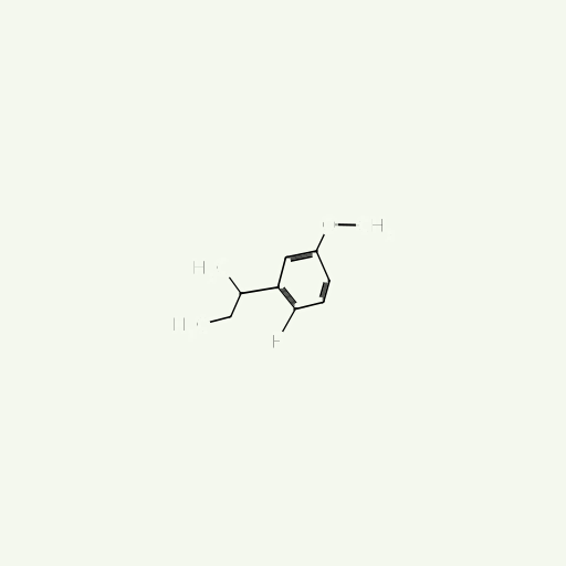 CCC(C)c1cc(OC)ccc1F